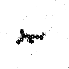 N#Cc1cccc(-c2ccc(-c3ccc4c5ccc(-c6nc(-c7ccccc7)nc(-c7ccc8c(c7)sc7ccccc78)n6)cc5c5oc6ccccc6c5c4c3)cc2)c1